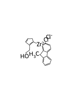 CC1c2ccccc2-c2ccc[c]([Zr+2][C]3=C(CCO)C=CC3)c21.[Cl-].[Cl-]